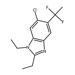 CCc1nc2cc(C(C)(F)F)c(Cl)cc2n1CC